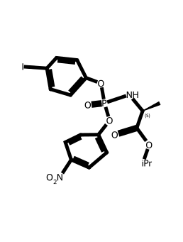 CC(C)OC(=O)[C@H](C)NP(=O)(Oc1ccc(I)cc1)Oc1ccc([N+](=O)[O-])cc1